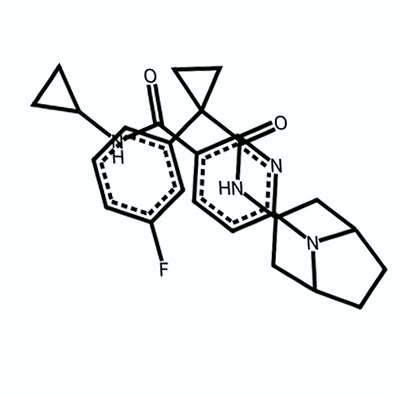 O=C(NC1CC1)c1ccc(N2C3CCC2CC(NC(=O)C2(c4cccc(F)c4)CC2)C3)nc1